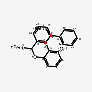 CCCCCC(Oc1cccc(O)c1OC(CCCCC)c1ccccc1)c1ccccc1